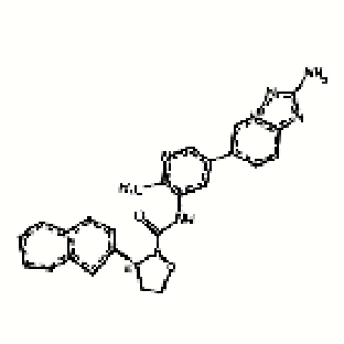 Cc1ncc(-c2ccc3nc(N)nn3c2)cc1NC(=O)N1OCC[C@H]1c1ccc2ccccc2c1